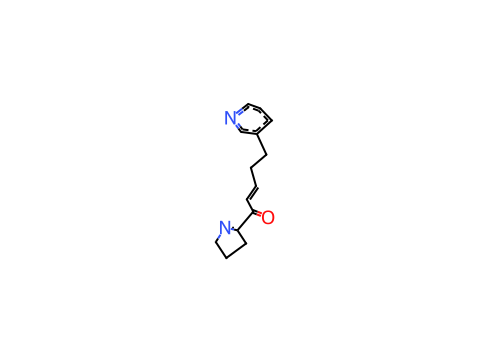 O=C(C=CCCc1cccnc1)C1CCC[N]1